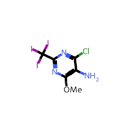 COc1nc(C(I)(I)I)nc(Cl)c1N